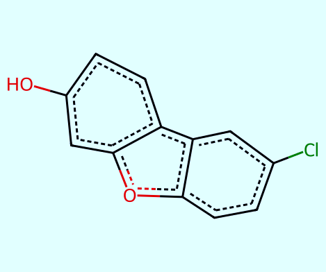 Oc1ccc2c(c1)oc1ccc(Cl)cc12